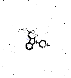 CN1CCC(N2C(=O)/C(=C\C(N)=O)c3ccccc32)CC1